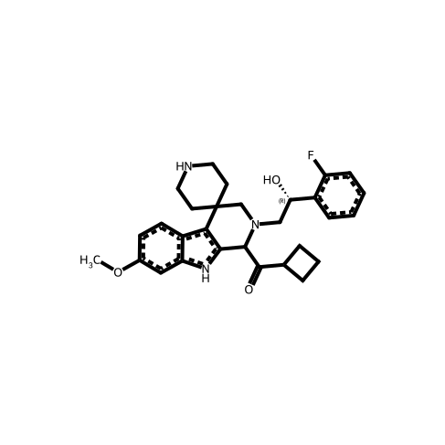 COc1ccc2c3c([nH]c2c1)C(C(=O)C1CCC1)N(C[C@H](O)c1ccccc1F)CC31CCNCC1